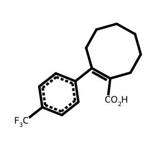 O=C(O)/C1=C(\c2ccc(C(F)(F)F)cc2)CCCCCC1